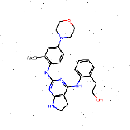 COc1cc(N2CCOCC2)ccc1Nc1nc2c(c(Nc3ccccc3CCO)n1)CCN2